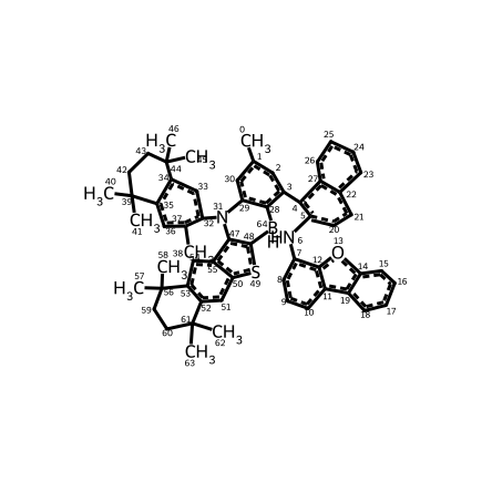 Cc1cc(-c2c(Nc3cccc4c3oc3ccccc34)ccc3ccccc23)c2c(c1)N(c1cc3c(cc1C)C(C)(C)CCC3(C)C)c1c(sc3cc4c(cc13)C(C)(C)CCC4(C)C)B2